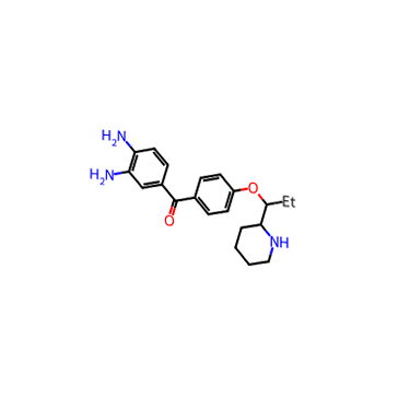 CCC(Oc1ccc(C(=O)c2ccc(N)c(N)c2)cc1)C1CCCCN1